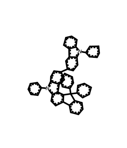 c1ccc(-n2c3ccccc3c3cc(-c4ccc5c(c4)c4c6c(ccc4n5-c4ccccc4)-c4ccccc4C6(c4ccccc4)c4ccccc4)ccc32)cc1